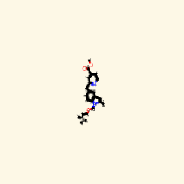 COC(=O)c1ccnc(Cc2ccc3c(c2)cc(C)n3COCC[Si](C)(C)C)c1